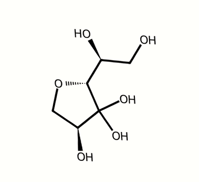 OC[C@H](O)[C@H]1OC[C@H](O)C1(O)O